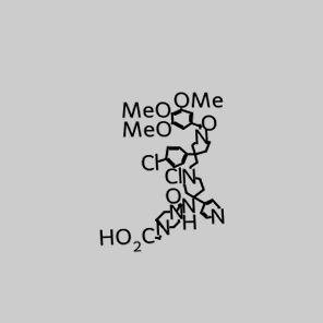 COc1cc(C(=O)N2CCC(CCN3CCC(NC(=O)N4CCN(CC(=O)O)CC4)(c4ccncc4)CC3)(c3ccc(Cl)c(Cl)c3)C2)cc(OC)c1OC